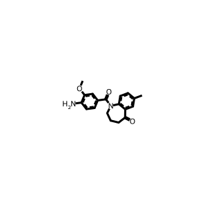 COc1cc(C(=O)N2CCCC(=O)c3cc(C)ccc32)ccc1N